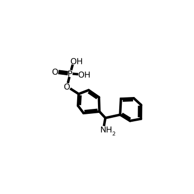 NC(c1ccccc1)c1ccc(OP(=O)(O)O)cc1